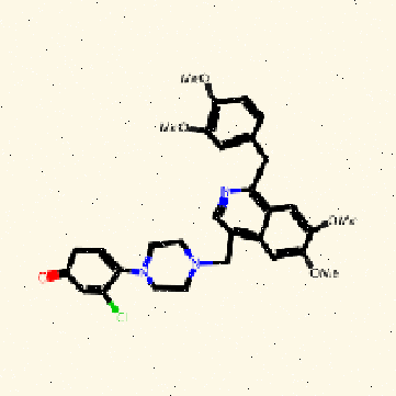 COc1ccc(Cc2ncc(CN3CCN(C4=CCC(=O)C=C4Cl)CC3)c3cc(OC)c(OC)cc23)cc1OC